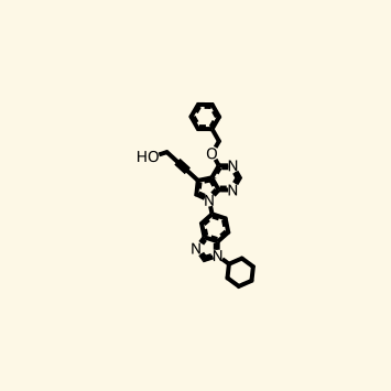 OCC#Cc1cn(-c2ccc3c(c2)ncn3C2CCCCC2)c2ncnc(OCc3ccccc3)c12